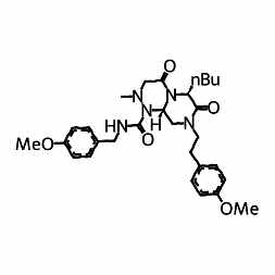 CCCC[C@H]1C(=O)N(CCc2ccc(OC)cc2)C[C@H]2N1C(=O)CN(C)N2C(=O)NCc1ccc(OC)cc1